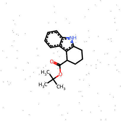 CC(C)(C)OC(=O)C1CCCc2[nH]c3ccccc3c21